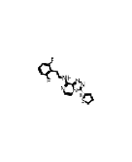 Fc1cccc(F)c1CCNc1nccn2c([C@@H]3CCCS3)nnc12